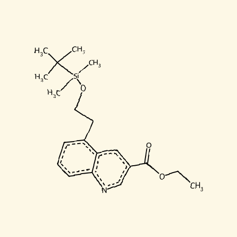 CCOC(=O)c1cnc2cccc(CCO[Si](C)(C)C(C)(C)C)c2c1